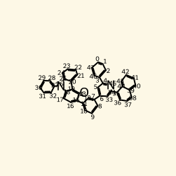 c1ccc(-c2cc(-c3cccc4c3oc3c4ccc4c3c3ccccc3n4-c3ccccc3)cc(-c3cccc4ccccc34)n2)cc1